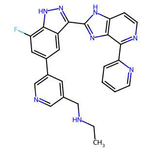 CCNCc1cncc(-c2cc(F)c3[nH]nc(-c4nc5c(-c6ccccn6)nccc5[nH]4)c3c2)c1